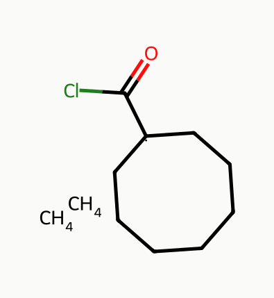 C.C.O=C(Cl)[C]1CCCCCCC1